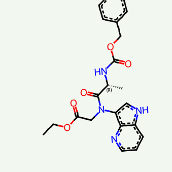 CCOC(=O)CN(C(=O)[C@@H](C)NC(=O)OCc1ccccc1)c1c[nH]c2cccnc12